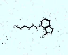 O=C1CCc2cccc(OCCCCCl)c21